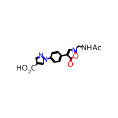 CC(=O)NCn1cc(-c2ccc(-n3cc(C(=O)O)cn3)cc2)c(=O)o1